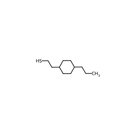 CCCC1CCC(CCS)CC1